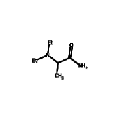 CCN(CC)C(C)C(N)=O